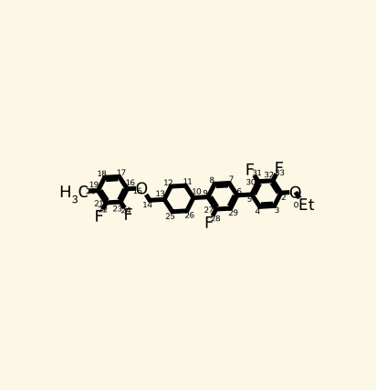 CCOc1ccc(-c2ccc(C3CCC(COc4ccc(C)c(F)c4F)CC3)c(F)c2)c(F)c1F